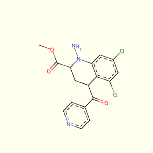 COC(=O)C1CC(C(=O)c2ccncc2)c2c(Cl)cc(Cl)cc2N1N